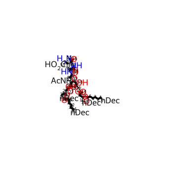 CCCCCCCCCCCCCCCC(=O)O[C@H](CCCCCCCCCCC)CC(=O)OC[C@H]1OC(OC(=O)C[C@@H](CCCCCCCCCCC)OC(=O)CCCCCCCCCCCCCCC)[C@H](NC(C)=O)[C@H](OC(C)C(=O)N[C@@H](C)C(=O)N[C@H](CCC(=O)O)C(N)=O)[C@@H]1O